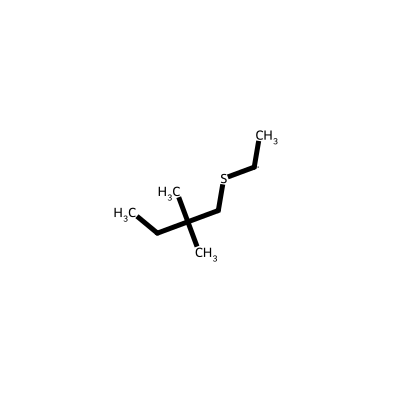 C[CH]SCC(C)(C)CC